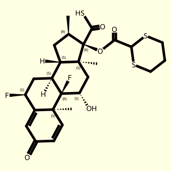 C[C@@H]1C[C@H]2[C@@H]3C[C@H](F)C4=CC(=O)C=C[C@]4(C)[C@@]3(F)[C@@H](O)C[C@]2(C)[C@@]1(OC(=O)C1SCCCS1)C(=O)S